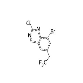 FC(F)(F)Cc1cc(Br)c2nc(Cl)ncc2c1